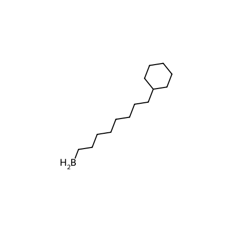 BCCCCCCCCC1CCCCC1